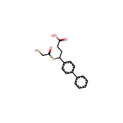 O=C(O)CCC(SC(=O)CS)c1ccc(-c2ccccc2)cc1